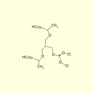 C#CC(C)OCC(COC(C)C#C)COP(OCl)OCl